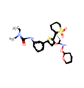 CCN(C)C(=O)Nc1cccc(-c2ccc([C@@]3(CC(=O)NOC4CCCCO4)CCCCS3(=O)=O)s2)c1